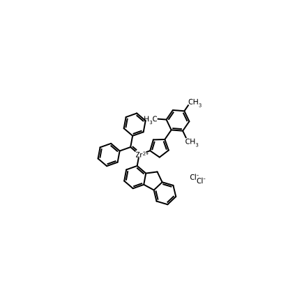 Cc1cc(C)c(C2=CC[C]([Zr+2](=[C](c3ccccc3)c3ccccc3)[c]3cccc4c3Cc3ccccc3-4)=C2)c(C)c1.[Cl-].[Cl-]